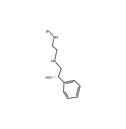 CC(C)NCCNC[C@@H](O)c1ccccc1